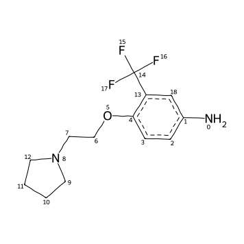 Nc1ccc(OCCN2CCCC2)c(C(F)(F)F)c1